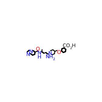 C/C(=C\C=C(/N)N1CCC(COc2cccc(C(=O)O)c2)CC1)NC(=O)c1ccc2nccn2c1